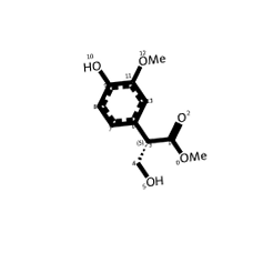 COC(=O)[C@H](CO)c1ccc(O)c(OC)c1